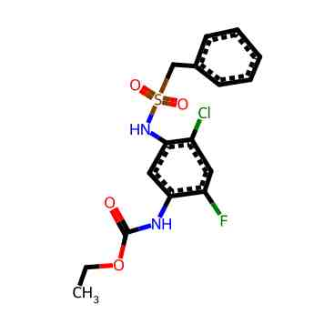 CCOC(=O)Nc1cc(NS(=O)(=O)Cc2ccccc2)c(Cl)cc1F